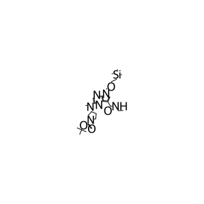 CCNC(=O)c1cn(COCC[Si](C)(C)C)c2ncc(N(C)[C@@H]3CCN(C(=O)OC(C)(C)C)C3)nc12